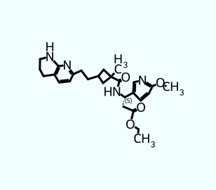 CCOC(=O)C[C@H](NC(=O)C1(C)CC(CCc2ccc3c(n2)NCCC3)C1)c1ccc(OC)nc1